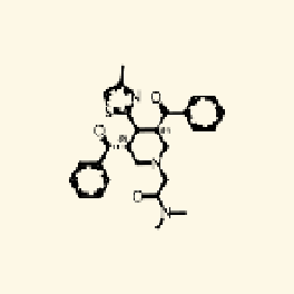 Cc1csc(C2[C@@H](C(=O)c3ccccc3)CN(CC(=O)N(C)C)C[C@@H]2C(=O)c2ccccc2)n1